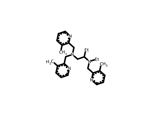 CCC(CN(Cc1ncccc1C)Cc1ncccc1C)N(CC)Cc1ncccc1C